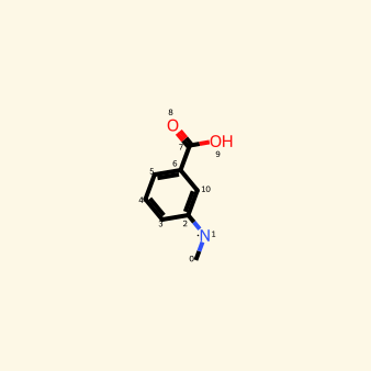 C[N]c1cccc(C(=O)O)c1